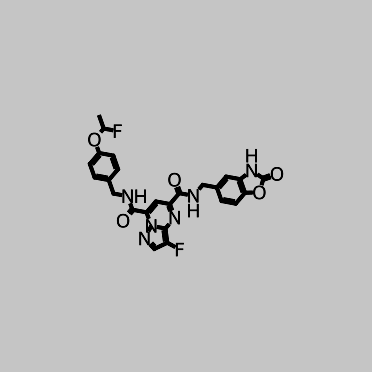 CC(F)Oc1ccc(CNC(=O)c2cc(C(=O)NCc3ccc4oc(=O)[nH]c4c3)nc3c(F)cnn23)cc1